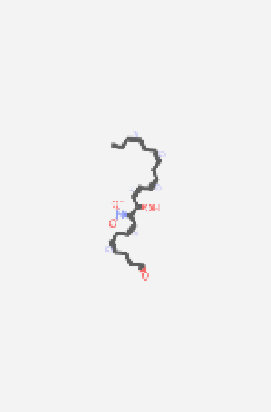 CC/C=C\C/C=C\C/C=C\C=C/C(O)C(/C=C\C/C=C\CC[C]=O)[N+](=O)[O-]